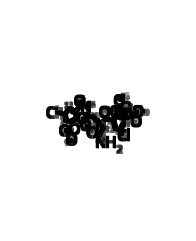 COOc1c(OC(=O)OC)cc(Cl)cc1C(=O)N(C)CCCN(CC(N)=O)C(=O)c1cc(Cl)cc(OC(=O)OC)c1OC(=O)OC